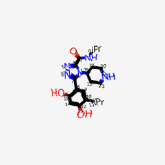 CC(C)NC(=O)c1nnc(-c2cc(C(C)C)c(O)cc2O)n1C1CCNCC1